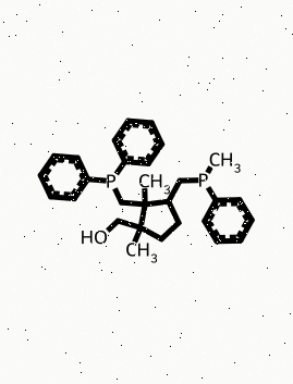 CP(CC1CCC(C)(CO)C1(C)CP(c1ccccc1)c1ccccc1)c1ccccc1